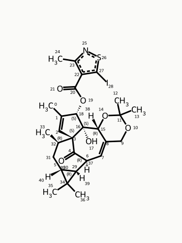 CC1=C[C@]23C(=O)[C@@H](C=C4COC(C)(C)O[C@H]4[C@]2(O)[C@H]1OC(=O)c1c(C)nsc1I)[C@H]1[C@@H](C[C@H]3C)C1(C)C